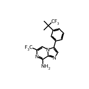 CC(C)(c1cccc(-c2cnc3c(N)nc(C(F)(F)F)cn23)c1)C(F)(F)F